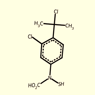 CC(C)(Cl)c1ccc(N(S)C(=O)O)cc1Cl